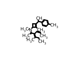 C=C(C(/C=C\C)=C(\C)CC)N(C)C1CC(C(C)c2ccc(C)cc2)=C1C